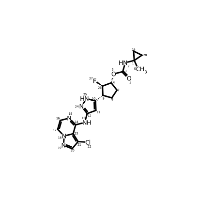 CC1(NC(=O)O[C@@H]2CC[C@H](c3cc(Nc4nccn5ncc(Cl)c45)n[nH]3)[C@H]2F)CC1